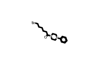 O=C(CCCCCBr)N1CCN(c2ccccc2)CC1